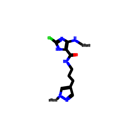 CCCCCNc1nc(Cl)[nH]c1C(=O)NCCCc1cnn(CCCCC)c1